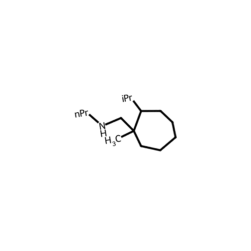 CCCNCC1(C)CCCCCC1C(C)C